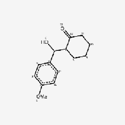 COc1ccc(C(O)C2CCCCC2=O)cc1